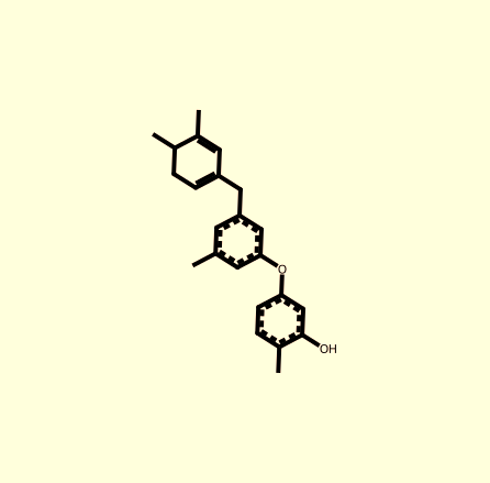 CC1=CC(Cc2cc(C)cc(Oc3ccc(C)c(O)c3)c2)=CCC1C